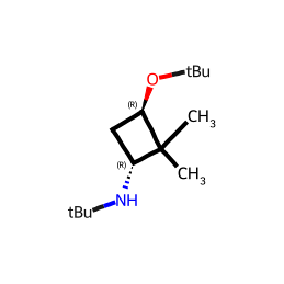 CC(C)(C)N[C@@H]1C[C@@H](OC(C)(C)C)C1(C)C